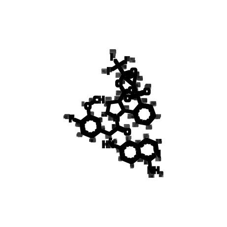 COc1cc([C@@H](Nc2ccc3c(N)nccc3c2)C(=O)N2CCC(C(=O)OC(=O)C(F)(F)F)C2c2ccccc2S(=O)(=O)C2CC2)ccc1F